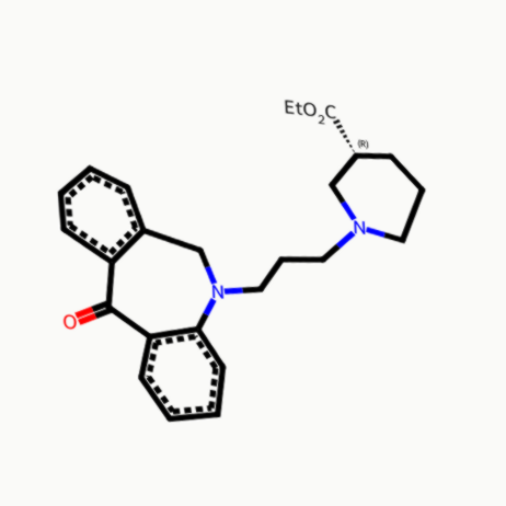 CCOC(=O)[C@@H]1CCCN(CCCN2Cc3ccccc3C(=O)c3ccccc32)C1